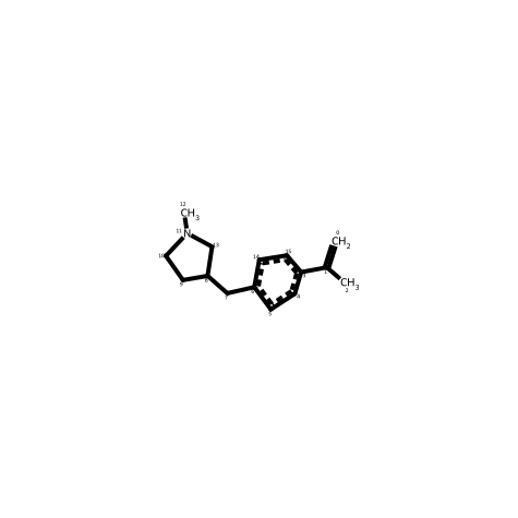 C=C(C)c1ccc(CC2CCN(C)C2)cc1